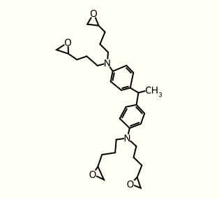 CC(c1ccc(N(CCCC2CO2)CCCC2CO2)cc1)c1ccc(N(CCCC2CO2)CCCC2CO2)cc1